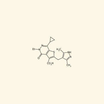 CCn1nc(C2CC2)c2sc(Cc3c(C)n[nH]c3C)c(C(=O)O)c2c1=O